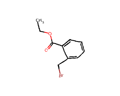 CCOC(=O)c1ccccc1CBr